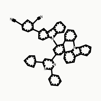 N#Cc1ccc(-c2ccc3c(c2)c2ccccc2n3-c2cc(-c3cc(-c4ccccc4)nc(-c4ccccc4)n3)ccc2-c2ccccc2-n2c3ccccc3c3ccccc32)c(C#N)c1